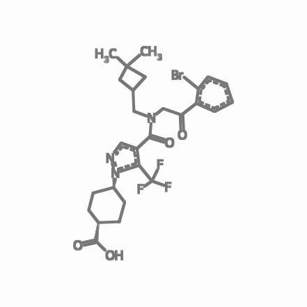 CC1(C)CC(CN(CC(=O)c2ccccc2Br)C(=O)c2cnn([C@H]3CC[C@@H](C(=O)O)CC3)c2C(F)(F)F)C1